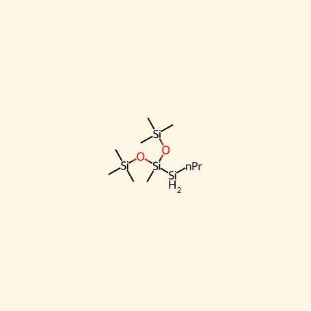 CCC[SiH2][Si](C)(O[Si](C)(C)C)O[Si](C)(C)C